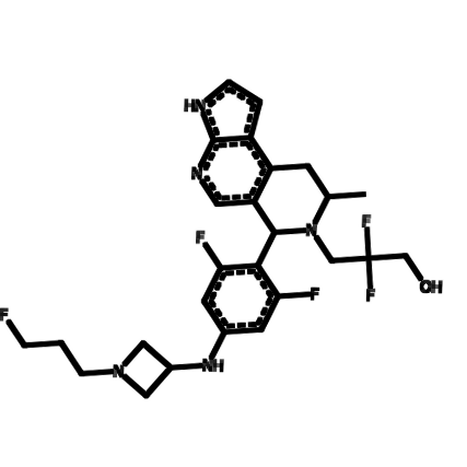 CC1Cc2c(cnc3[nH]ccc23)C(c2c(F)cc(NC3CN(CCCF)C3)cc2F)N1CC(F)(F)CO